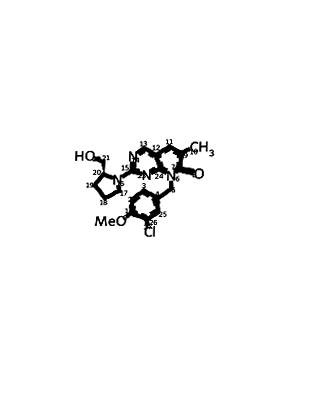 COc1ccc(Cn2c(=O)c(C)cc3cnc(N4CCC[C@H]4CO)nc32)cc1Cl